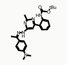 CC(=NNc1cc(-c2ccccc2NC(=O)OC(C)(C)C)nc(C)n1)c1ccc(N(C)C)cc1